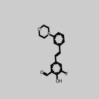 O=Cc1cc(C=Cc2cccc(N3CCOCC3)c2)cc(F)c1O